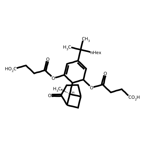 CCCCCCC(C)(C)C1=CC(OC(=O)CCC(=O)O)C([C@@]2(C)C3CCC(=O)C2C3)C(OC(=O)CCC(=O)O)=C1